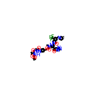 CCN(C(=O)OCc1ccc(NC(=O)C(C)NC(=O)C(NC(=O)OC(C)(C)C)C(C)C)cc1)c1cc(C2(Cc3nncn3C)COC2)cc(N2Cc3c(cc(CN4CCC[C@H](C)C4)cc3C(F)(F)F)C2=O)n1